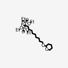 CCOP(=O)(OCC)C(F)(CCCCCCCCCOC1CCCCO1)P(=O)(OCC)OCC